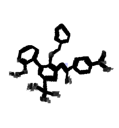 COc1ncccc1-c1cc(C(C)(C)C)cc(/C=C(\C)c2ccc([N+](=O)[O-])cc2)c1OCc1ccccc1